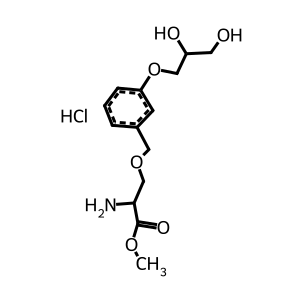 COC(=O)C(N)COCc1cccc(OCC(O)CO)c1.Cl